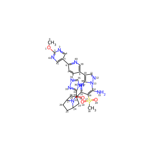 COc1ncc(-c2ccc(-c3cnn4c(N)c(S(C)(=O)=O)c(C5CC6CCC(C5)N6C(=O)c5nnc[nH]5)nc34)cn2)cn1